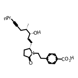 CCCC#CC[C@H](C)[C@H](O)C=C[C@H]1CCC(=O)N1CCc1ccc(C(=O)O)cc1